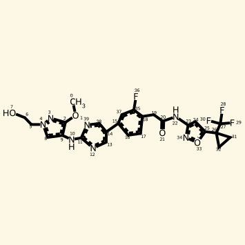 COc1nn(CCO)cc1Nc1ncc(-c2ccc(CC(=O)Nc3cc(C4(C(F)(F)F)CC4)on3)c(F)c2)cn1